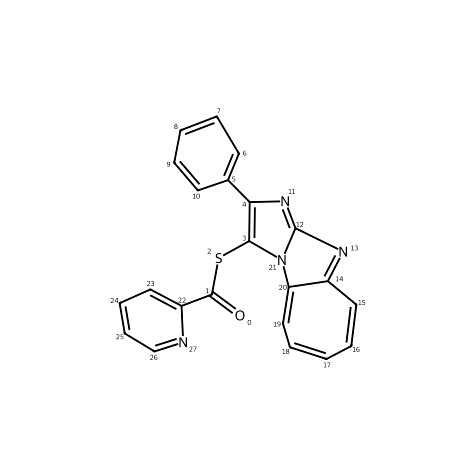 O=C(Sc1c(-c2ccccc2)nc2nc3cccccc3n12)c1ccccn1